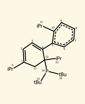 CC(C)C1=CC=C(c2ccccc2C(C)C)C(C(C)C)(P(C(C)(C)C)C(C)(C)C)C1